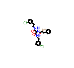 O=C(NC(C(=O)NCCc1cccc(Cl)c1)C(=O)NCCc1cccc(Cl)c1)C(S)Cc1ccccc1